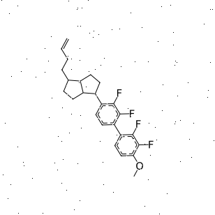 C=CCCC1CCC2C(c3ccc(-c4ccc(OC)c(F)c4F)c(F)c3F)CCC12